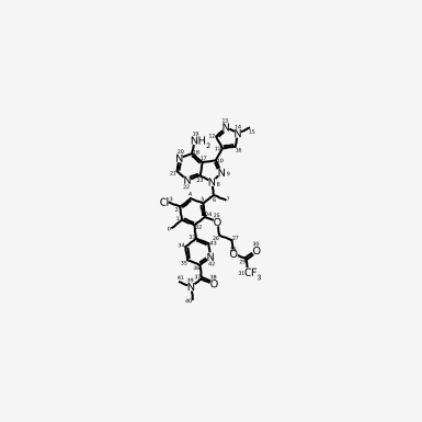 Cc1c(Cl)cc(C(C)n2nc(-c3cnn(C)c3)c3c(N)ncnc32)c(OCCOC(=O)C(F)(F)F)c1-c1ccc(C(=O)N(C)C)nc1